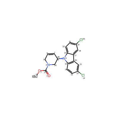 CC(C)(C)OC(=O)N1CC=C[C@@H](n2c3ccc(Cl)cc3c3cc(Cl)ccc32)C1